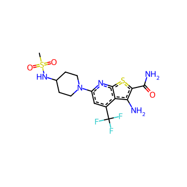 CS(=O)(=O)NC1CCN(c2cc(C(F)(F)F)c3c(N)c(C(N)=O)sc3n2)CC1